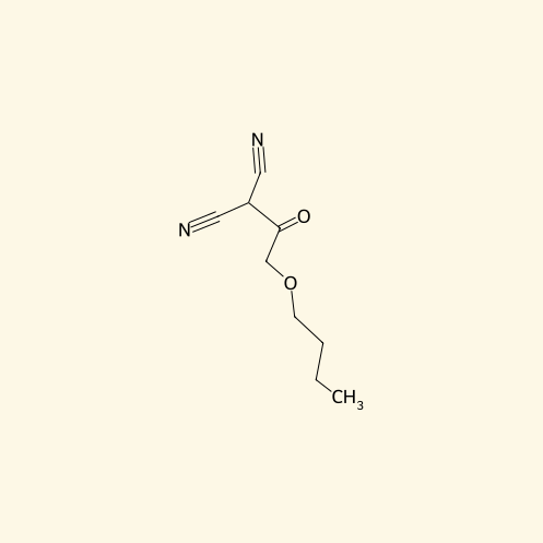 CCCCOCC(=O)C(C#N)C#N